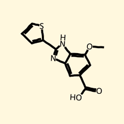 COc1cc(C(=O)O)cc2nc(-c3cccs3)[nH]c12